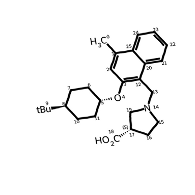 Cc1cc(O[C@H]2CC[C@H](C(C)(C)C)CC2)c(CN2CC[C@H](C(=O)O)C2)c2ccccc12